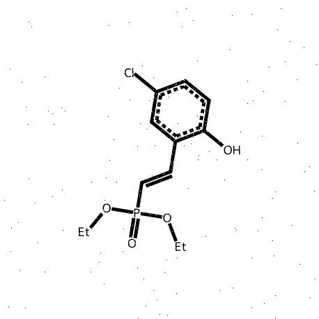 CCOP(=O)(C=Cc1cc(Cl)ccc1O)OCC